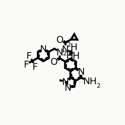 [2H]C([2H])([2H])N(C(=O)C1CC1)N(Cc1ccc(C(F)(F)F)cn1)C(=O)c1ccc2nc(N)c3cnn(C)c3c2c1